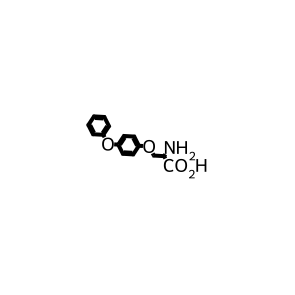 NC(COc1ccc(Oc2ccccc2)cc1)C(=O)O